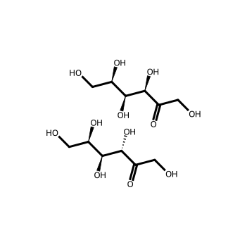 O=C(CO)[C@@H](O)[C@@H](O)[C@H](O)CO.O=C(CO)[C@H](O)[C@@H](O)[C@H](O)CO